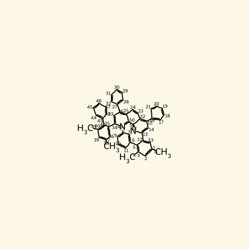 Cc1cc(C)c(-c2ccccc2)c(-c2cc(-c3ccccc3)c3ccc4c(-c5ccccc5)cc(-c5cc(C)cc(C)c5-c5ccccc5)nc4c3n2)c1